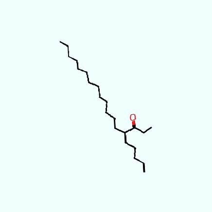 CCCCCCCCCCCCCC(CCCCC)C(=O)CC